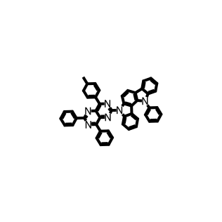 CC1C=CC(c2nc(-n3c4ccccc4c4c3ccc3c5ccccc5n(-c5ccccc5)c34)nc3c(-c4ccccc4)nc(-c4ccccc4)nc23)=CC1